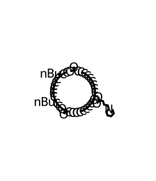 CCCCC1CCCCCCC(CCCC)CCOC(=O)CCCCCCCCCC(OC(=O)CCCN2CCCCC2)CCCCCCCCCC(=O)OCC1